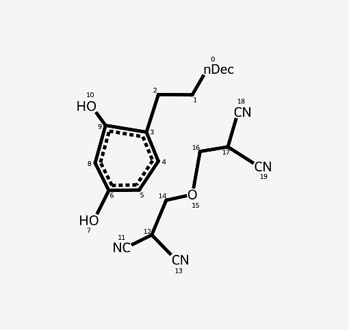 CCCCCCCCCCCCc1ccc(O)cc1O.N#CC(C#N)COCC(C#N)C#N